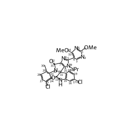 COc1ncc(-c2nc3c(n2C(C)C)[C@@]2(C(=O)Nc4cc(Cl)ccc42)N(c2cc(Cl)ccc2C)C3=O)c(OC)n1